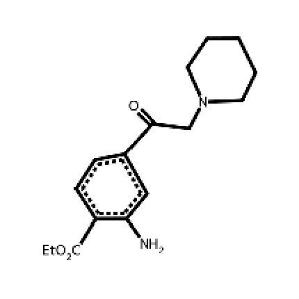 CCOC(=O)c1ccc(C(=O)CN2CCCCC2)cc1N